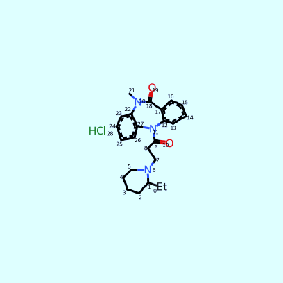 CCC1CCCCN1CCC(=O)N1c2ccccc2C(=O)N(C)c2ccccc21.Cl